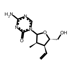 C=C[C@@H]1[C@@H](CO)OC(n2cnc(N)nc2=O)[C@@H]1C